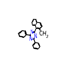 Cc1ccc2ccccc2c1-c1nc(-c2ccccc2)nc(-c2ccccc2)n1